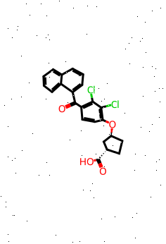 O=C(c1ccc(O[C@H]2CC[C@H](C(=O)O)C2)c(Cl)c1Cl)c1cccc2ccccc12